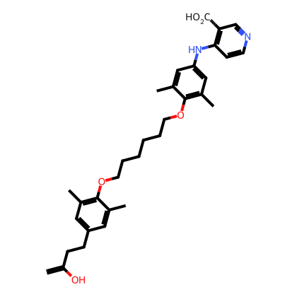 C=C(O)CCc1cc(C)c(OCCCCCCOc2c(C)cc(Nc3ccncc3C(=O)O)cc2C)c(C)c1